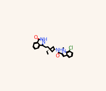 CC[C@]1(CCc2n[nH]c(=O)c3ccccc23)C[C@H](NC(=O)c2cc3cccc(Cl)c3n2C)C1